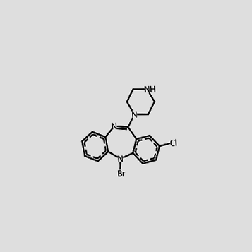 Clc1ccc2c(c1)C(N1CCNCC1)=Nc1ccccc1N2Br